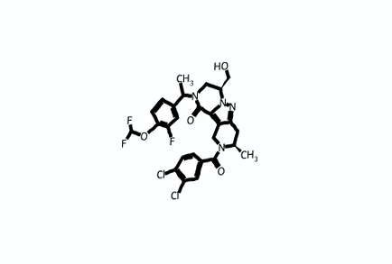 CC(c1ccc(OC(F)F)c(F)c1)N1C[C@@H](CO)n2nc3c(c2C1=O)CN(C(=O)c1ccc(Cl)c(Cl)c1)[C@H](C)C3